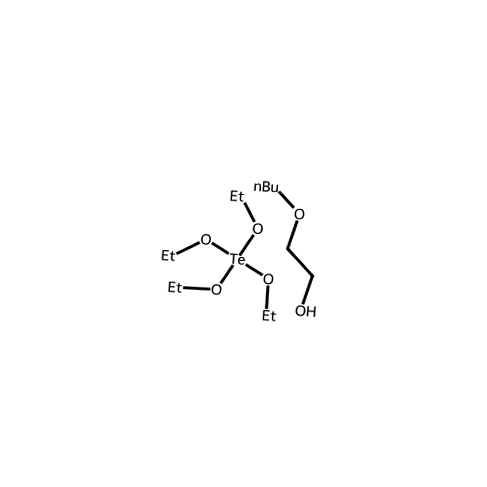 CCCCOCCO.CCO[Te](OCC)(OCC)OCC